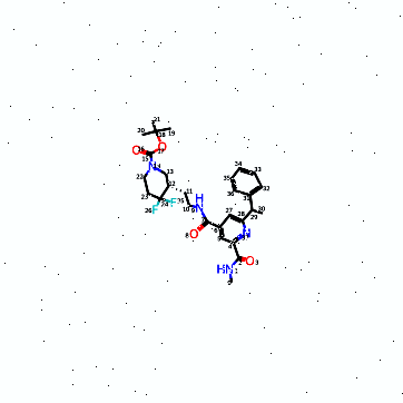 CNC(=O)c1cc(C(=O)NCC[C@H]2CN(C(=O)OC(C)(C)C)CCC2(F)F)cc(C(C)c2ccccc2)n1